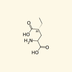 CC[C@H](CC(N)C(=O)O)C(=O)O